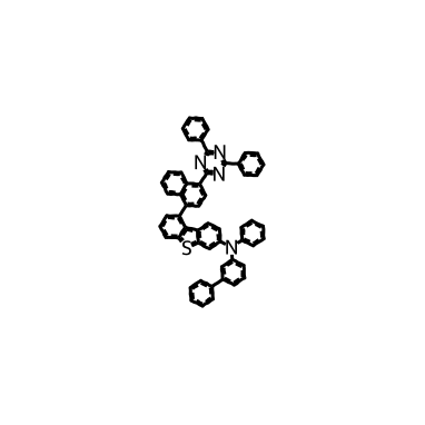 c1ccc(-c2cccc(N(c3ccccc3)c3ccc4c(c3)sc3cccc(-c5ccc(-c6nc(-c7ccccc7)nc(-c7ccccc7)n6)c6ccccc56)c34)c2)cc1